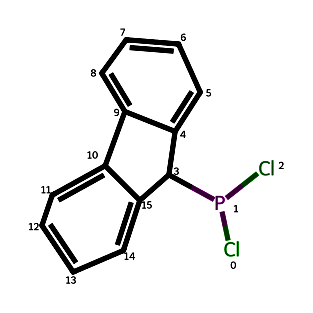 ClP(Cl)C1c2ccccc2-c2ccccc21